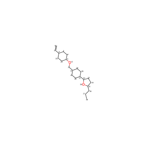 C=CC1CCC(OCC2CCC(C3CCC(CCC)O3)CC2)CC1